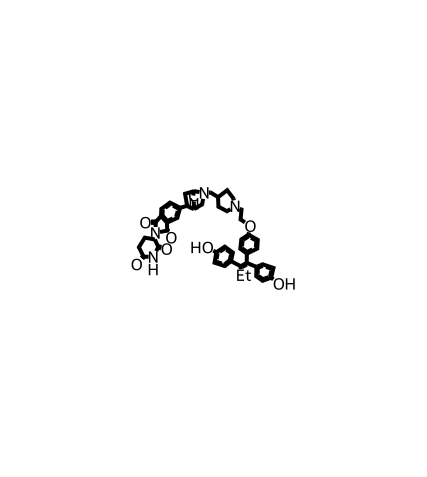 CCC(=C(c1ccc(O)cc1)c1ccc(OCCN2CCC(CN3CC4CCC3CN4c3ccc4c(c3)C(=O)N(C3CCC(=O)NC3=O)C4=O)CC2)cc1)c1ccc(O)cc1